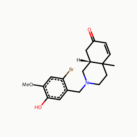 COc1cc(Br)c(CN2CCC3(C)C=CC(=O)C[C@H]3C2)cc1O